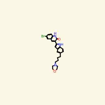 O=c1[nH]c2ccc(Br)cc2cc1-c1cc2cc(CCCCN3CCOCC3)ccc2[nH]1